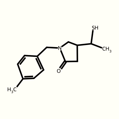 Cc1ccc(CN2CC(C(C)S)CC2=O)cc1